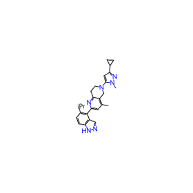 Cc1cc(-c2c(C(C)C)ccc3[nH]ncc23)nc2c1CN(c1cc(C3CC3)nn1C)CC2